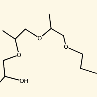 CCCOCC(C)OCC(C)OCC(C)O